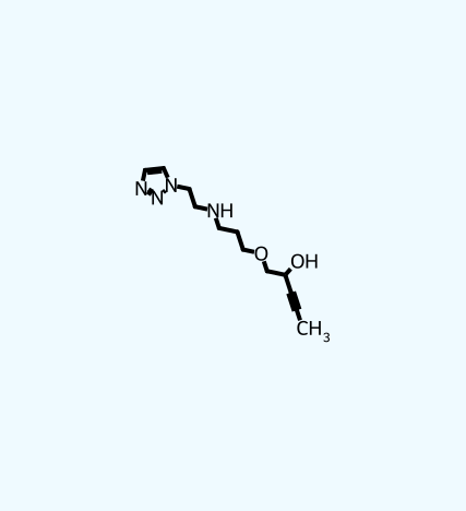 CC#CC(O)COCCCNCCn1ccnn1